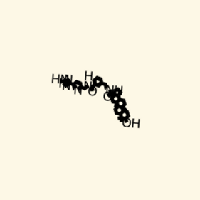 CC1(C)C(O)CCC2(C)C1CCC1(C)C3CCC4(C(=O)NCCc5cccc(C(=O)NCc6ccc(-c7nn[nH]n7)cn6)c5)CCCC4C3CCC12